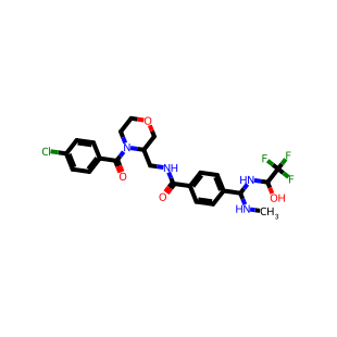 CNC(NC(O)C(F)(F)F)c1ccc(C(=O)NCC2COCCN2C(=O)c2ccc(Cl)cc2)cc1